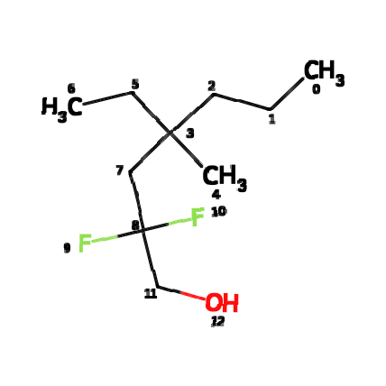 CCCC(C)(CC)CC(F)(F)CO